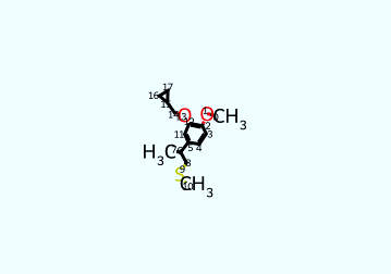 COc1ccc(C(C)CSC)cc1OCC1CC1